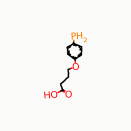 O=C(O)CCCOc1ccc(P)cc1